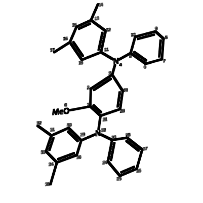 COc1cc(N(c2ccccc2)c2cc(C)cc(C)c2)ccc1N(c1ccccc1)c1cc(C)cc(C)c1